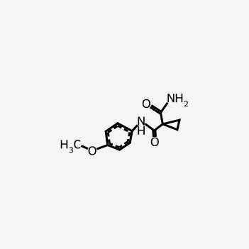 COc1ccc(NC(=O)C2(C(N)=O)CC2)cc1